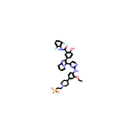 CCOc1cc(C2CCN(CCS(C)(=O)=O)CC2)ccc1Nc1nccc(-c2c(-c3ccc(O)c(C(=O)Nc4c(F)cccc4F)c3)nc3ccccn23)n1